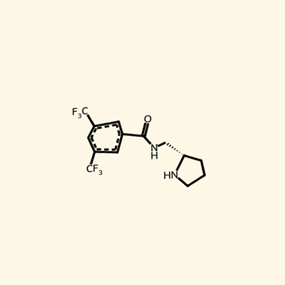 O=C(NC[C@@H]1CCCN1)c1cc(C(F)(F)F)cc(C(F)(F)F)c1